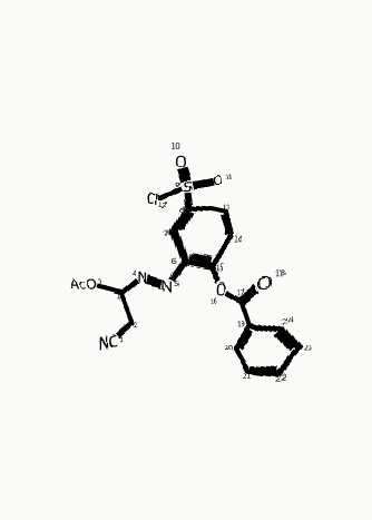 CC(=O)OC(CC#N)N=Nc1cc(S(=O)(=O)Cl)ccc1OC(=O)c1ccccc1